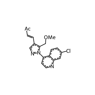 COCc1c(C=CC(C)=O)cnn1-c1ccnc2cc(Cl)ccc12